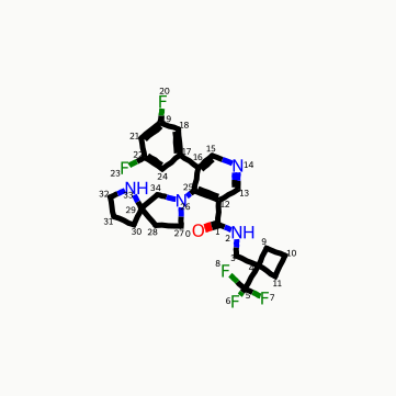 O=C(NCC1(C(F)(F)F)CCC1)c1cncc(-c2cc(F)cc(F)c2)c1N1CCC2(CCCN2)C1